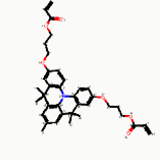 C=CC(=O)OCCCOc1ccc2c(c1)C(C)(C)c1cc(C)cc3c1N2c1ccc(OCCCOC(=O)C=C)cc1C3(C)C